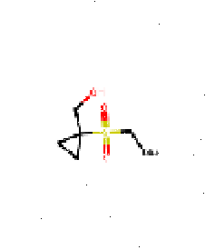 CC(C)(C)CS(=O)(=O)C1(CO)CC1